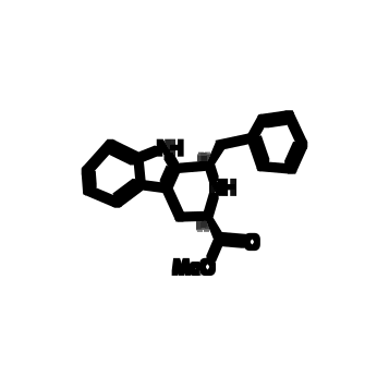 COC(=O)[C@H]1Cc2c([nH]c3ccccc23)[C@@H](Cc2ccccc2)N1